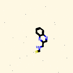 S=[C]NCc1cnc2ccccc2n1